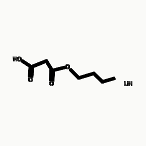 CCCCOC(=O)CC(=O)O.[LiH]